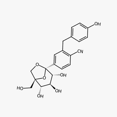 N#Cc1ccc([C@@]23OC[C@](CO)(O2)[C@@H](O)[C@H](O)[C@H]3O)cc1Cc1ccc(O)cc1